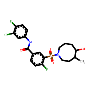 CC1CCN(S(=O)(=O)c2cc(C(=O)Nc3ccc(F)c(Cl)c3)ccc2F)CCCC1O